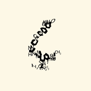 CCCS(=O)(=O)Nc1cccc(-c2nc(C(C)(C)C)sc2-c2ccnc(Nc3cnn(C4CCN(C(=O)C[C@@H]5CCN(c6ccc([C@@H]7CCC(=O)NC7=O)cc6)C5)CC4)c3)n2)c1F